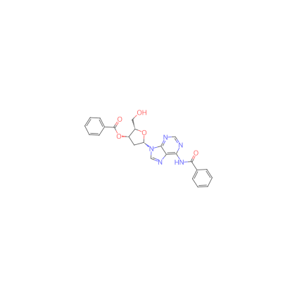 O=C(Nc1ncnc2c1ncn2[C@H]1C[C@@H](OC(=O)c2ccccc2)[C@@H](CO)O1)c1ccccc1